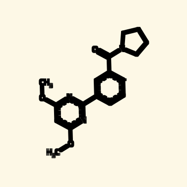 COc1cc(OC)nc(-c2cc[c]c(C(=O)N3CCCC3)c2)n1